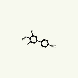 CCCc1ccc(-c2cc(F)c(CF)c(F)c2)cc1